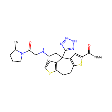 CNC(=O)c1cc2c(s1)CCc1sccc1C2(C[C@H](C)NCC(=O)N1CCCC1C#N)c1nn[nH]n1